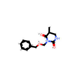 CC1CNC(=O)N(COCc2ccccc2)C1=O